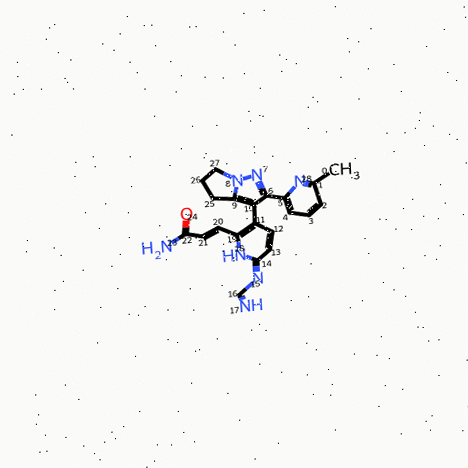 Cc1cccc(-c2nn3c(c2-c2cc/c(=N/C=N)[nH]c2/C=C/C(N)=O)CCC3)n1